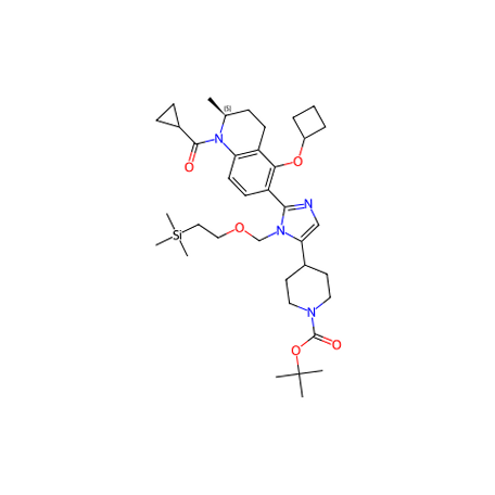 C[C@H]1CCc2c(ccc(-c3ncc(C4CCN(C(=O)OC(C)(C)C)CC4)n3COCC[Si](C)(C)C)c2OC2CCC2)N1C(=O)C1CC1